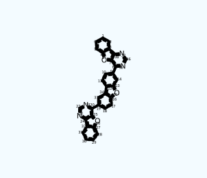 c1ccc2c(c1)oc1c(-c3ccc4c(c3)oc3ccc(-c5ncnc6c5oc5ccccc56)cc34)ncnc12